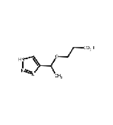 CC(OCCC(=O)O)c1c[nH]nn1